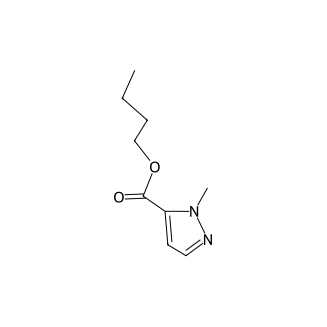 CCCCOC(=O)c1ccnn1C